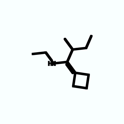 CCNC(=C1CCC1)C(C)CC